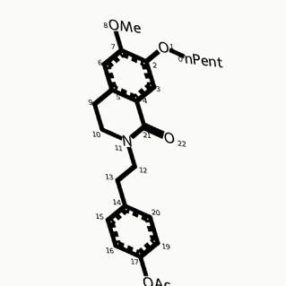 CCCCCOc1cc2c(cc1OC)CCN(CCc1ccc(OC(C)=O)cc1)C2=O